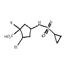 CCC1CC(NS(=O)(=O)C2CC2)CC1(F)C(=O)O